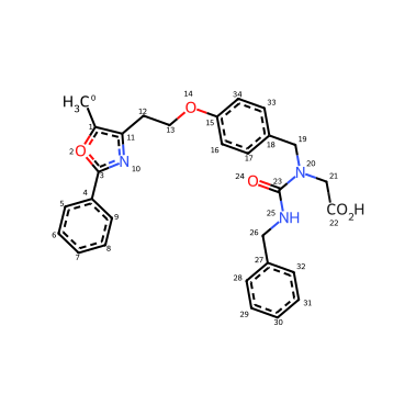 Cc1oc(-c2ccccc2)nc1CCOc1ccc(CN(CC(=O)O)C(=O)NCc2ccccc2)cc1